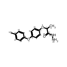 CC(Oc1ccc(Oc2ccc(I)cc2)cc1)C(=O)NN